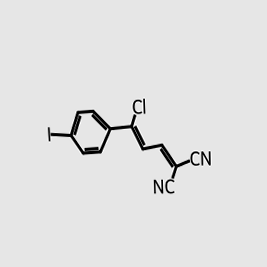 N#CC(C#N)=CC=C(Cl)c1ccc(I)cc1